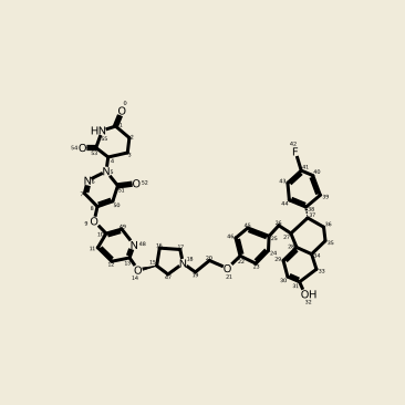 O=C1CCC(n2ncc(Oc3ccc(O[C@H]4CCN(CCOc5ccc(CC6C7=CC=C(O)CC7CC[C@H]6c6ccc(F)cc6)cc5)C4)nc3)cc2=O)C(=O)N1